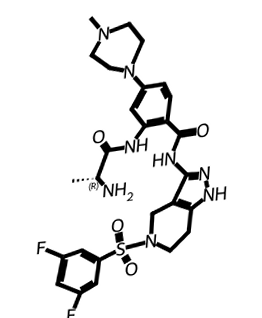 C[C@@H](N)C(=O)Nc1cc(N2CCN(C)CC2)ccc1C(=O)Nc1n[nH]c2c1CN(S(=O)(=O)c1cc(F)cc(F)c1)CC2